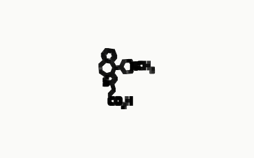 CN1CCC(=C2c3ccccc3CCc3sc(CCC(=O)O)cc32)CC1